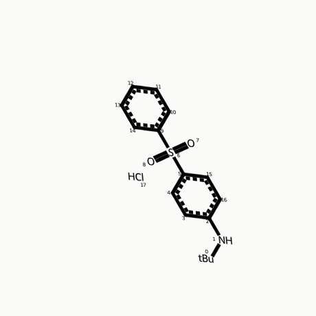 CC(C)(C)Nc1ccc(S(=O)(=O)c2ccccc2)cc1.Cl